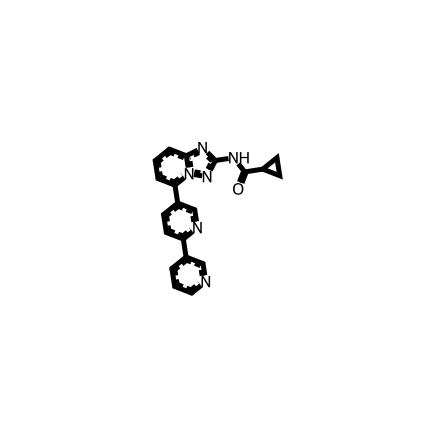 O=C(Nc1nc2cccc(-c3ccc(-c4cccnc4)nc3)n2n1)C1CC1